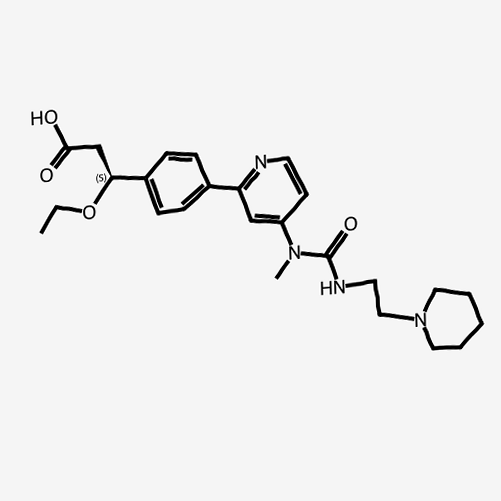 CCO[C@@H](CC(=O)O)c1ccc(-c2cc(N(C)C(=O)NCCN3CCCCC3)ccn2)cc1